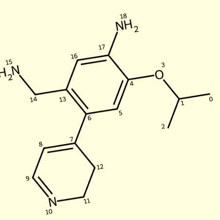 CC(C)Oc1cc(C2=CC=NCC2)c(CN)cc1N